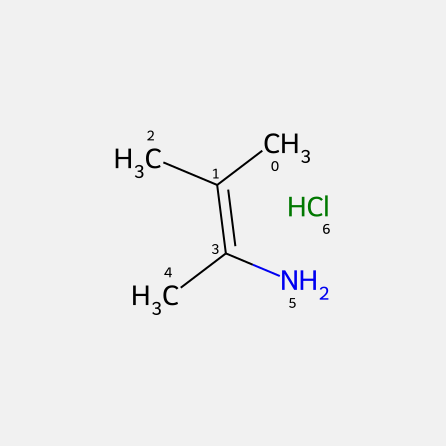 CC(C)=C(C)N.Cl